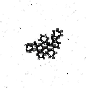 c1ccc(N(c2cc3ccccc3c3ccccc23)c2cccc3c2sc2ccccc23)c(-c2cccc3c2sc2ccccc23)c1